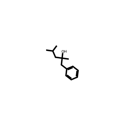 CC(C)CC(C)(O)Cc1ccccc1